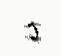 COC(=O)C(Cc1ccc(O)cc1)NC(=O)CCc1ccc(-c2ccc(CCCCNC(=N)NC(=O)c3nc(Cl)c(N)nc3N)cc2)cc1